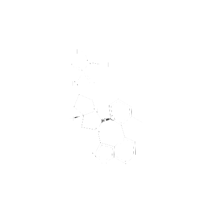 CN(C)S(=O)(=O)N[C@H]1C[C@H]2CN(c3noc4cccc(-c5c(F)cccc5F)c34)C(=O)N2C1